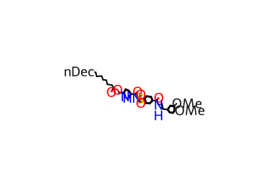 CCCCCCCCCCCCCCCCCC(=O)OCc1ccc(C(=O)NS(=O)(=O)c2ccc(C(=O)NCCc3ccc(OC)c(OC)c3)cc2)cn1